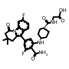 CC1(C)CC(=O)n2c(c(-c3cc(F)c(C(N)=O)c(N[C@H]4CC[C@H](C(=O)NCC(=O)O)CC4)c3)c3ccc(F)cc32)C1